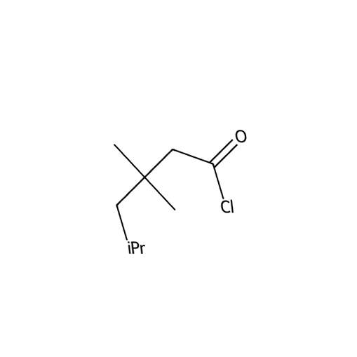 CC(C)CC(C)(C)CC(=O)Cl